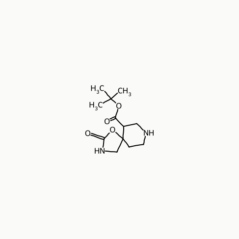 CC(C)(C)OC(=O)C1CNCCC12CNC(=O)O2